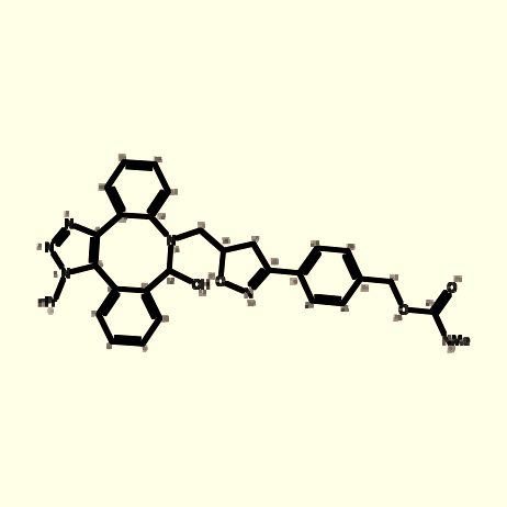 CCCn1nnc2c1-c1ccccc1C(O)N(CC1CC(c3ccc(COC(=O)NC)cc3)=NO1)c1ccccc1-2